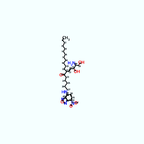 CCCCCCCCCCCCC(C=CC(O)C(N)CO)C(=O)CCCCCNc1ccc([N+](=O)[O-])c2nonc12